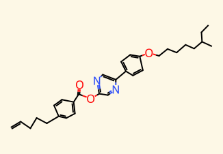 C=CCCCc1ccc(C(=O)Oc2cnc(-c3ccc(OCCCCCC(C)CC)cc3)cn2)cc1